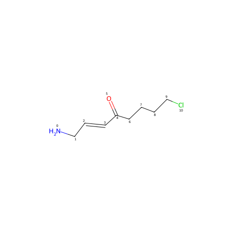 NCC=CC(=O)CCCCCl